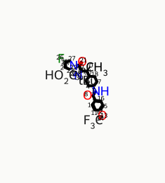 C[C@@H](C1CCC(NC(=O)c2ccc(OC(F)(F)F)cc2)CC1)[C@@H](C(=O)N1CC[C@H](F)C1)N(C(=O)O)C(C)(C)C